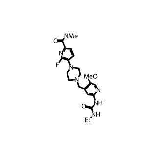 CCNC(=O)Nc1cc(CN2CCN(c3ccc(C(=O)NC)nc3F)CC2)c(OC)cn1